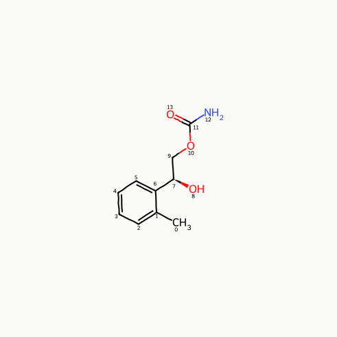 Cc1ccccc1[C@H](O)COC(N)=O